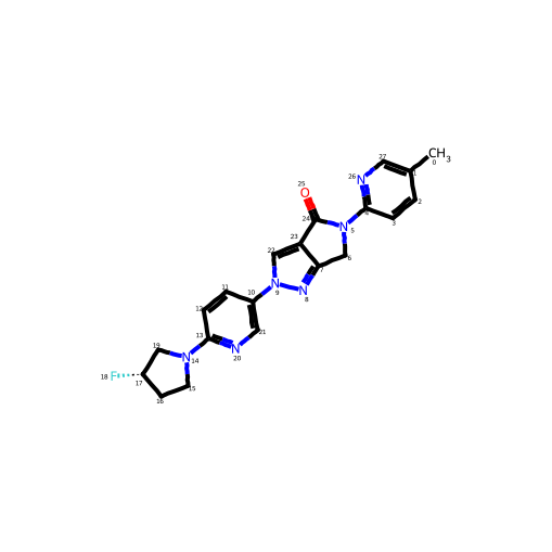 Cc1ccc(N2Cc3nn(-c4ccc(N5CC[C@H](F)C5)nc4)cc3C2=O)nc1